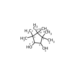 CC1(C)C(O)C(O)C(C)(C)C1(C)C